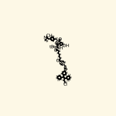 Cc1ncsc1-c1ccc(CNC(=O)C2CC(O)CN2C(=O)[C@@H](NC(=O)CCCCCC(=O)N2CCN(CCOc3ccc(/C(=C(/CCCl)c4ccccc4)c4ccccc4)cc3)CC2)C(C)(C)C)cc1